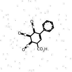 O=C=C1C(=C=O)C(c2ccccc2)=CC(C(=O)O)C1=C=O